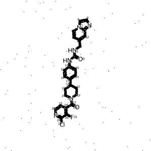 O=C(NCc1ccn2ccnc2c1)Nc1ccc(C2CCN(C(=O)c3ccnc(Cl)c3F)CC2)cc1